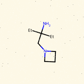 CCC(N)(CC)CN1CCC1